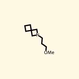 COCCCN1CC2(CCC2)C1